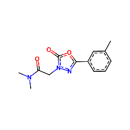 Cc1cccc(-c2nn(CC(=O)N(C)C)c(=O)o2)c1